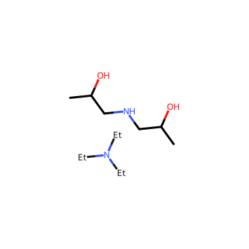 CC(O)CNCC(C)O.CCN(CC)CC